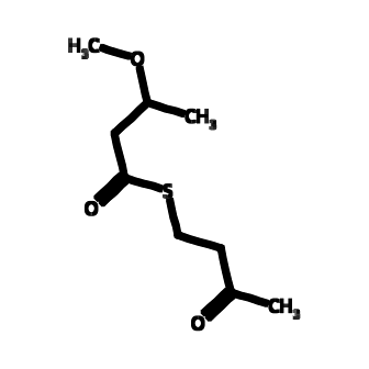 COC(C)CC(=O)SCCC(C)=O